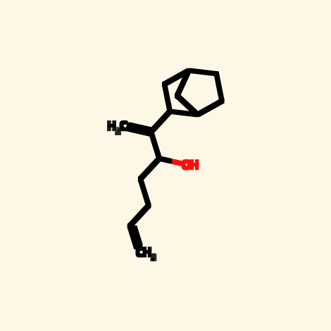 C=CCCC(O)C(=C)C1CC2CCC1C2